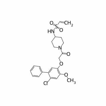 C=CS(=O)(=O)NC1CCN(C(=O)COc2cc(-c3ccccc3)c(Cl)cc2OC)CC1